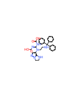 O=C(O)N=C(NC(=O)O)N(CCNC(c1ccccc1)(c1ccccc1)c1ccccc1)c1cnn2c1NCC2